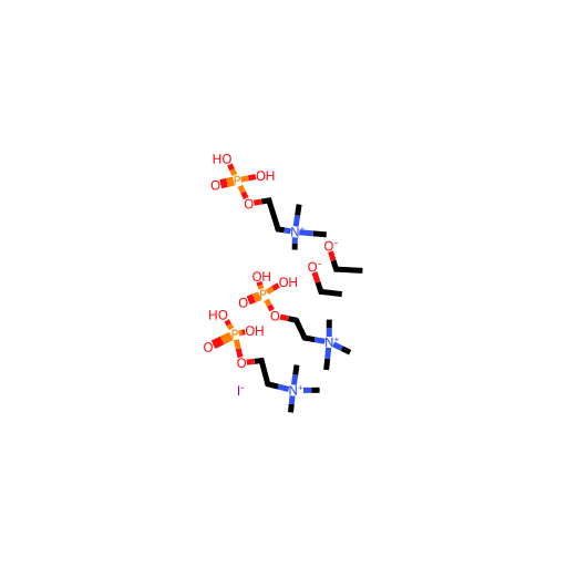 CC[O-].CC[O-].C[N+](C)(C)CCOP(=O)(O)O.C[N+](C)(C)CCOP(=O)(O)O.C[N+](C)(C)CCOP(=O)(O)O.[I-]